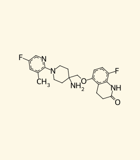 Cc1cc(F)cnc1N1CCC(N)(COc2ccc(F)c3c2CCC(=O)N3)CC1